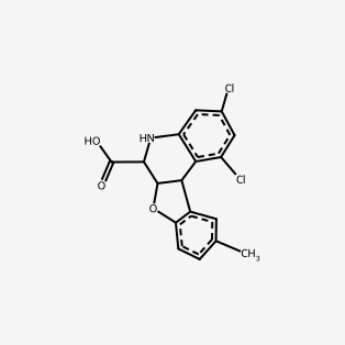 Cc1ccc2c(c1)C1c3c(Cl)cc(Cl)cc3NC(C(=O)O)C1O2